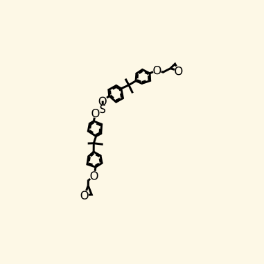 CC(C)(c1ccc(OCC2CO2)cc1)c1ccc(OSOc2ccc(C(C)(C)c3ccc(OCC4CO4)cc3)cc2)cc1